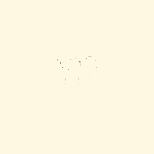 CO[C@]12CC[C@@]3(C[C@@H]1[C@](C)(O)C(C)(C)C)[C@H]1Cc4c(CC5CC5)cc(O)c5c4[C@@]3(CCN1)[C@H]2O5